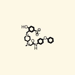 CN(CC(=O)Nc1ccc(Oc2ccccc2)cc1)C1CCN(Cc2cc([N+](=O)[O-])ccc2O)CC1